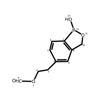 O=COCCc1ccc2c(c1)COB2O